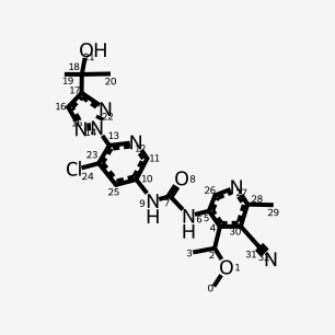 COC(C)c1c(NC(=O)Nc2cnc(-n3ncc(C(C)(C)O)n3)c(Cl)c2)cnc(C)c1C#N